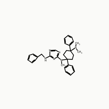 CN(C)C1(c2ccccc2)CCC(c2ccccc2)(N(C)c2ncnc(NCc3ccccc3)n2)CC1